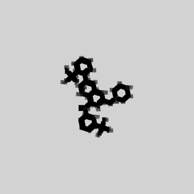 FC(F)(F)c1cccc(Nc2nc(CN3CCOCC3)nc3cc(-c4ncccc4C(F)(F)F)cnc23)n1